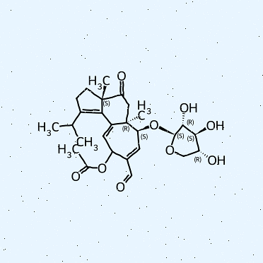 CC(=O)OC1C=C2C3=C(C(C)C)CC[C@]3(C)C(=O)C[C@@]2(C)[C@@H](O[C@@H]2OC[C@@H](O)[C@H](O)[C@H]2O)C=C1C=O